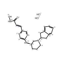 Cl.Cl.O=C(/C=C/c1cnc(N[C@@H]2CCCN(C3Cc4ccccc4C3)C2)cn1)NO